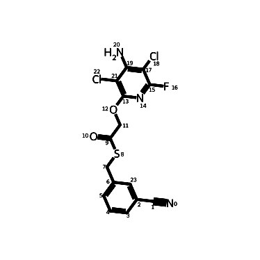 N#Cc1cccc(CSC(=O)COc2nc(F)c(Cl)c(N)c2Cl)c1